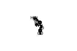 CN(C(=O)Cc1ccc(S(C)(=O)=O)cc1)[C@H](CN1CC[C@H](F)C1)c1cccc(OCc2nn[nH]n2)c1